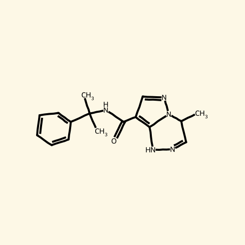 CC1C=NNc2c(C(=O)NC(C)(C)c3ccccc3)cnn21